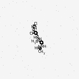 Cc1cc(Nc2ccc3nc(NCc4ccc(Oc5ncc(Cl)cn5)c(Cl)c4)n(C)c3c2)n[nH]1